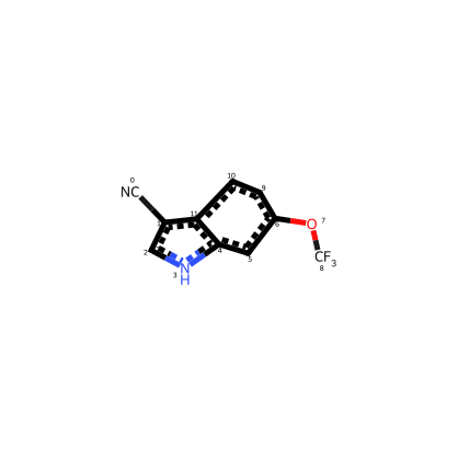 N#Cc1c[nH]c2cc(OC(F)(F)F)ccc12